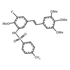 COc1cc(C=Cc2cc(F)c(OC)c(NS(=O)(=O)c3ccc(C)cc3)c2)cc(OC)c1OC